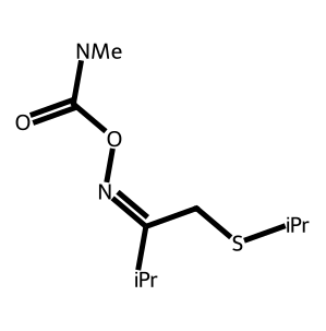 CNC(=O)ON=C(CSC(C)C)C(C)C